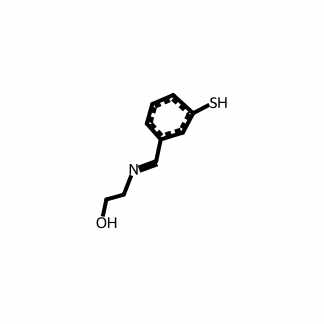 OCCN=Cc1cccc(S)c1